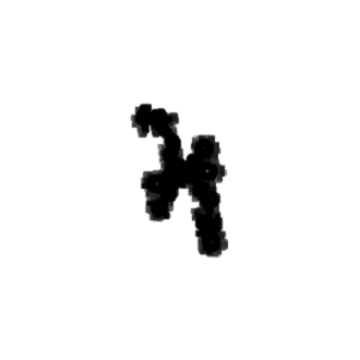 Cc1ccsc1-c1nc(CCOc2ccc(C[C@H](Nc3ccccc3C(=O)c3ccccc3)C(=O)OC(=O)CC(Nc3ccccc3C(=O)c3ccccc3)c3ccc(OCCc4nc(-c5ccccc5)sc4C)cc3)cc2)c(C)o1